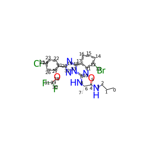 CCCNC(=O)[C@H](C)Nc1nc2c(Br)cccc2c2nc(-c3ccc(Cl)cc3OC(F)F)nn12